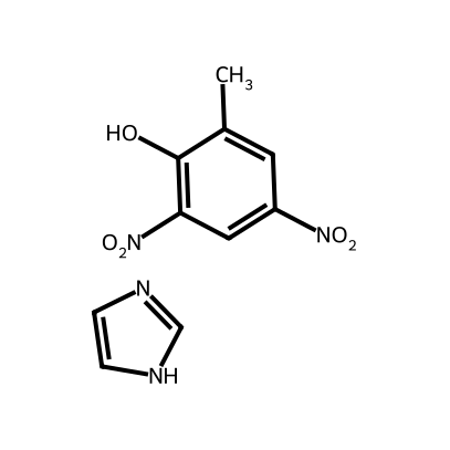 Cc1cc([N+](=O)[O-])cc([N+](=O)[O-])c1O.c1c[nH]cn1